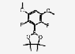 COc1cc(OC)c(F)c(B2OC(C)(C)C(C)(C)O2)c1F